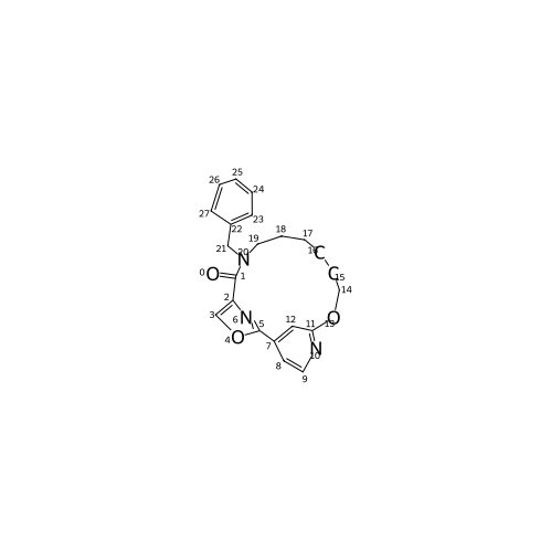 O=C1c2coc(n2)-c2ccnc(c2)OCCCCCCN1Cc1ccccc1